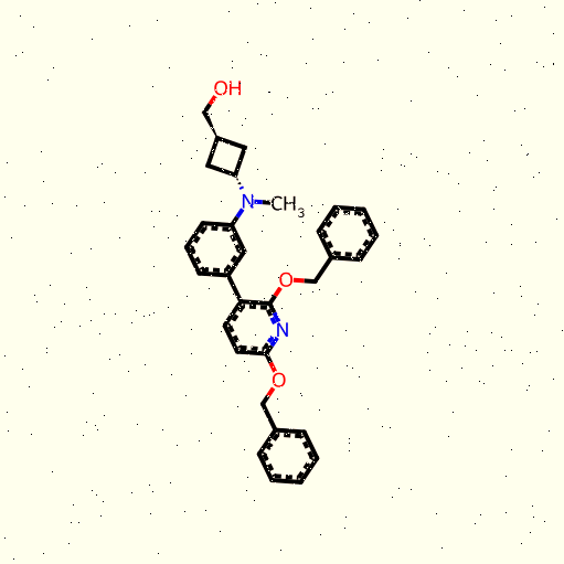 CN(c1cccc(-c2ccc(OCc3ccccc3)nc2OCc2ccccc2)c1)[C@H]1C[C@H](CO)C1